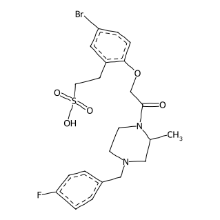 CC1CN(Cc2ccc(F)cc2)CCN1C(=O)COc1ccc(Br)cc1CCS(=O)(=O)O